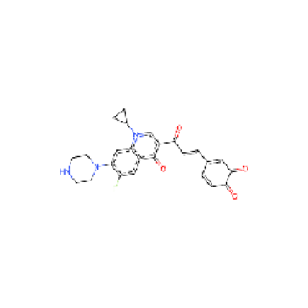 O=C1C=CC(C=CC(=O)c2cn(C3CC3)c3cc(N4CCNCC4)c(F)cc3c2=O)=CC1=O